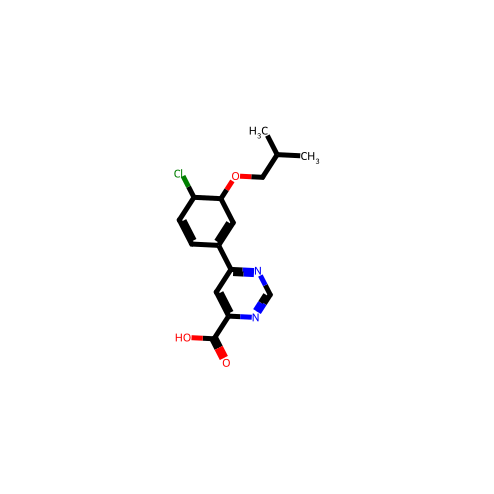 CC(C)COC1C=C(c2cc(C(=O)O)ncn2)C=CC1Cl